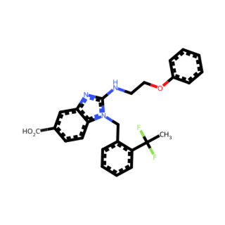 CC(F)(F)c1ccccc1Cn1c(NCCOc2ccccc2)nc2cc(C(=O)O)ccc21